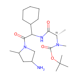 CC1CC(N)CN1C(=O)C(NC(=O)[C@H](C)N(C)C(=O)OC(C)(C)C)C1CCCCC1